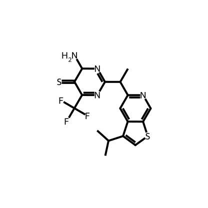 CC(C)c1csc2cnc(C(C)C3=NC(N)C(=S)C(C(F)(F)F)=N3)cc12